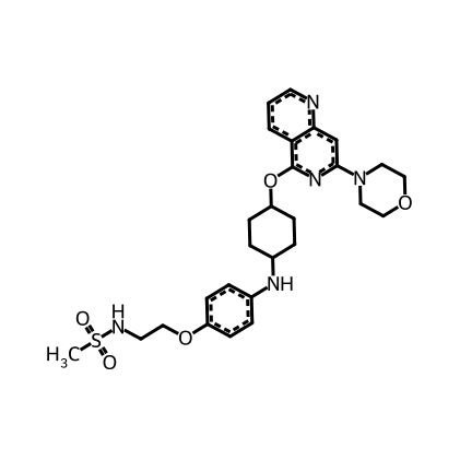 CS(=O)(=O)NCCOc1ccc(NC2CCC(Oc3nc(N4CCOCC4)cc4ncccc34)CC2)cc1